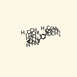 CC(C)(C)OC(=O)N1[C@@H](c2nc(-c3ccc(B4OC(C)(C)C(C)(C)O4)cc3)c[nH]2)C[C@@H]2C[C@@H]21